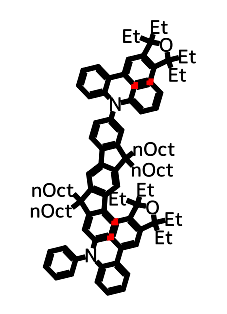 CCCCCCCCC1(CCCCCCCC)c2cc(N(c3ccccc3)c3ccccc3-c3ccc4c(c3)C(CC)(CC)OC4(CC)CC)ccc2-c2cc3c(cc21)-c1ccc(N(c2ccccc2)c2ccccc2-c2ccc4c(c2)C(CC)(CC)OC4(CC)CC)cc1C3(CCCCCCCC)CCCCCCCC